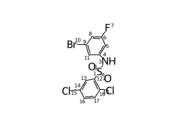 O=S(=O)(Nc1cc(F)cc(Br)c1)c1cc(Cl)ccc1Cl